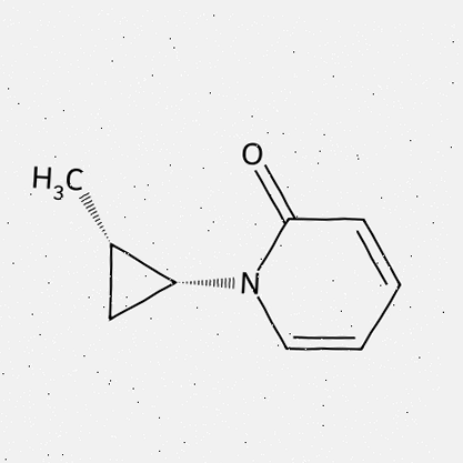 C[C@H]1C[C@H]1n1ccccc1=O